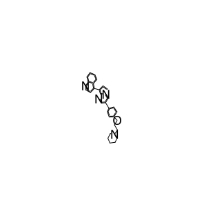 c1ccc2c(-c3ccn4cc(-c5ccc(OCCN6CCCCC6)cc5)cnc34)ccnc2c1